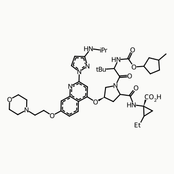 CCC1C[C@]1(NC(=O)C1C[C@@H](Oc2cc(-n3ccc(NC(C)C)n3)nc3cc(OCCN4CCOCC4)ccc23)CN1C(=O)C(NC(=O)OC1CCC(C)C1)C(C)(C)C)C(=O)O